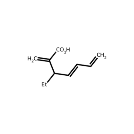 C=CC=CC(CC)C(=C)C(=O)O